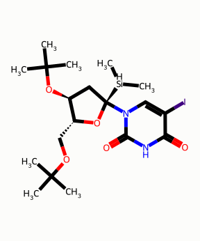 C[SiH](C)[C@]1(n2cc(I)c(=O)[nH]c2=O)C[C@H](OC(C)(C)C)[C@@H](COC(C)(C)C)O1